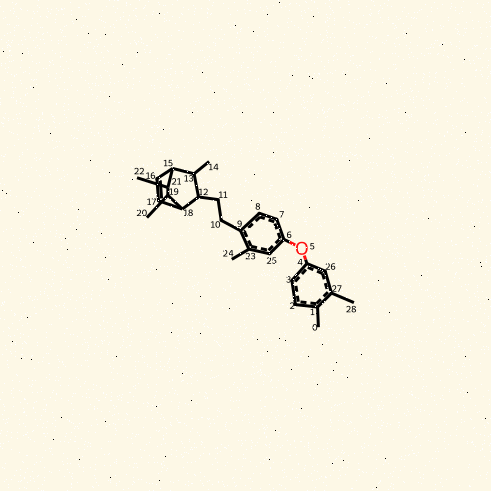 Cc1ccc(Oc2ccc(CCC3C(C)C4C=CC3C(C)C4C)c(C)c2)cc1C